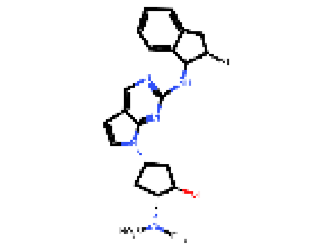 CC[C@@H]1Cc2ccccc2[C@@H]1Nc1ncc2ccn([C@@H]3C[C@@H](O)[C@H](N(C)S(=O)(=O)O)C3)c2n1